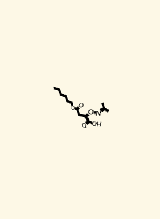 CCCCCCOC(=O)CC(ON=C(C)C)C(=O)O